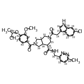 COc1cc(C(=O)N2CC3CN(C(=O)Cc4c[nH]c5cc(Cl)ccc45)CC(C(=O)NCc4ccc(C)nn4)C3C2)ccc1OC(C)C